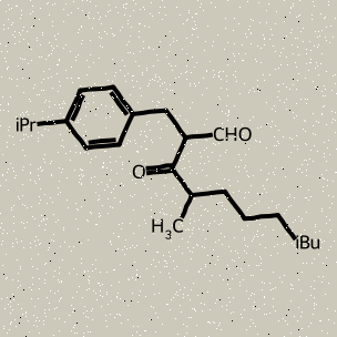 CCC(C)CCCC(C)C(=O)C(C=O)Cc1ccc(C(C)C)cc1